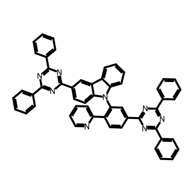 c1ccc(-c2nc(-c3ccccc3)nc(-c3ccc(-c4ccccn4)c(-n4c5ccccc5c5cc(-c6nc(-c7ccccc7)nc(-c7ccccc7)n6)ccc54)c3)n2)cc1